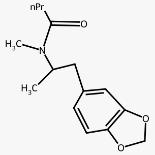 CCCC(=O)N(C)C(C)Cc1ccc2c(c1)OCO2